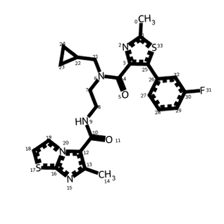 Cc1nc(C(=O)N(CCNC(=O)c2c(C)nc3sccn23)CC2CC2)c(-c2cccc(F)c2)s1